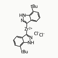 CC(C)(C)c1cccc2[c]([Zr+2][c]3n[nH]c4c(C(C)(C)C)cccc34)n[nH]c12.[Cl-].[Cl-]